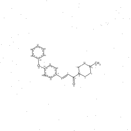 CN1CCN(C(=O)/C=C/c2ccc(Oc3ccccc3)nc2)CC1